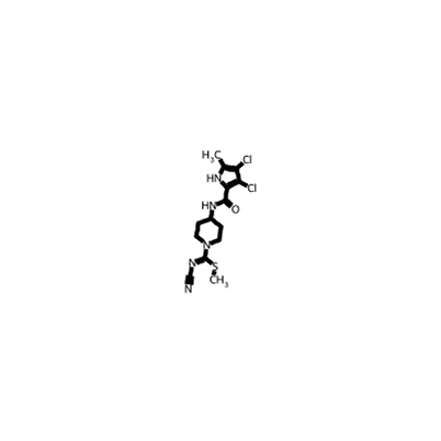 CSC(=NC#N)N1CCC(NC(=O)c2[nH]c(C)c(Cl)c2Cl)CC1